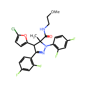 COCCNC(=O)C1(C)C(c2ccc(Cl)o2)C(c2ccc(F)cc2F)=NN1c1ccc(F)cc1F